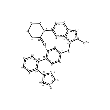 CCCc1nc2ccc(N3CCCCC3=O)cc2n1Cc1ccc(-c2ccccc2-c2nnn[nH]2)cc1